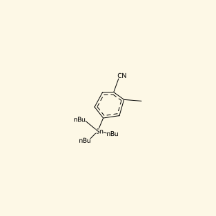 CCC[CH2][Sn]([CH2]CCC)([CH2]CCC)[c]1ccc(C#N)c(C)c1